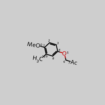 COc1ccc(OCC(C)=O)cc1C